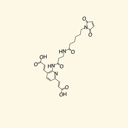 O=C(O)/C=C/c1ccc(/C=C/C(=O)O)c(NC(=O)CCNC(=O)CCCCCN2C(=O)C=CC2=O)n1